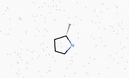 C[C@H]1CCC[N]1